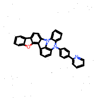 c1ccc(-c2ccc(N3c4ccccc4-n4c5ccc6c7ccccc7oc6c5c5cccc3c54)cc2)nc1